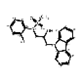 CS(=O)(=O)N(CC(O)Cn1c2ccccc2c2ccccc21)c1ccccc1I